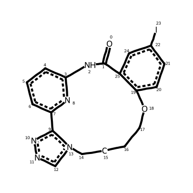 O=C1Nc2cccc(n2)-c2nncn2CCCCOc2ccc(I)cc21